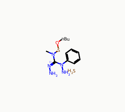 CCCCOSN(C)/C(=N/N)N(N)c1ccccc1.S